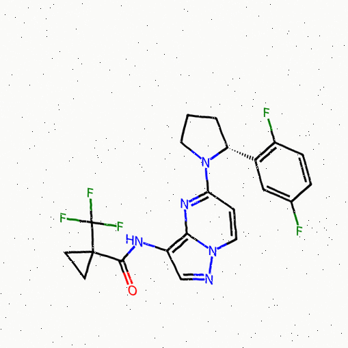 O=C(Nc1cnn2ccc(N3CCC[C@@H]3c3cc(F)ccc3F)nc12)C1(C(F)(F)F)CC1